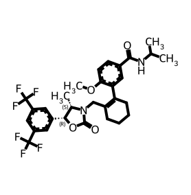 COc1ccc(C(=O)NC(C)C)cc1C1=C(CN2C(=O)O[C@H](c3cc(C(F)(F)F)cc(C(F)(F)F)c3)[C@@H]2C)CCCC1